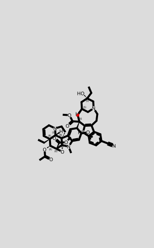 CC[C@]1(O)C[C@H]2CN(CCC3=C(Bc4ccc(C#N)cc43)[C@@](C(=O)OC)(C3C=C4C(=CC3OC)N(C)[C@@]35O[C@]3(C(=O)OC)[C@H](OC(C)=O)[C@]3(CC)C=CCN6CC[C@]45[C@@H]63)C2)C1